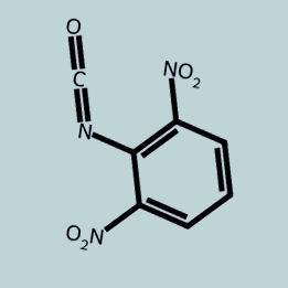 O=C=Nc1c([N+](=O)[O-])cccc1[N+](=O)[O-]